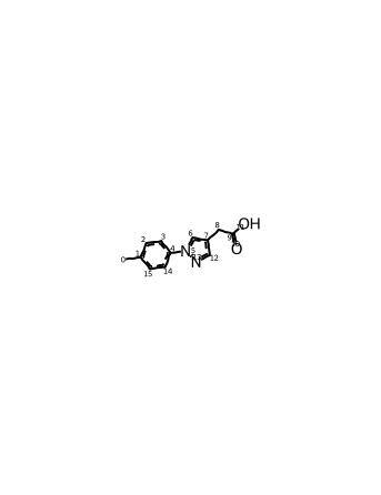 Cc1ccc(-n2cc(CC(=O)O)cn2)cc1